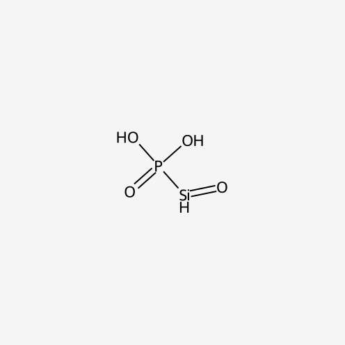 O=[SiH]P(=O)(O)O